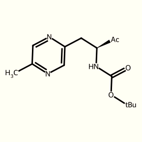 CC(=O)[C@H](Cc1cnc(C)cn1)NC(=O)OC(C)(C)C